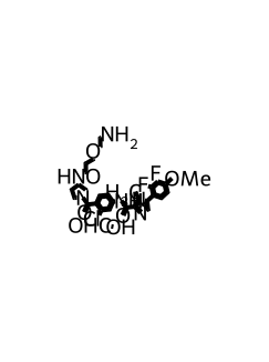 COc1ccc(-c2cnc(C(=O)Nc3ccc(C(=O)N4CCC(NC(=O)CCOCCN)C4)c(Cl)c3)n2C)c(F)c1F.O=CO